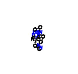 CC1(C)c2cc(-n3c4ccccc4c4cccnc43)ccc2-c2cccc(/C(N)=N/C(=N)c3ccccc3-c3ccccc3)c21